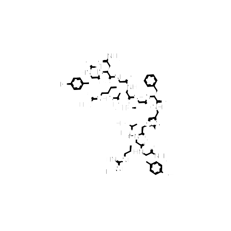 CNC(=N)NCCC[C@H](NC(=O)[C@H](CC(C)C)n1cc(CNC(=O)[C@H](Cc2ccccc2)NC(=O)[C@H](CO)NC(=O)[C@H](CC(N)=O)NC(=O)[C@H](CCCCNC(C)=O)NC(=O)[C@H](CC(N)=O)NC(=O)[C@H](Cc2ccc(O)cc2)NC(C)=O)nn1)C(=O)N[C@@H](Cc1ccc(O)cc1)C(N)=O